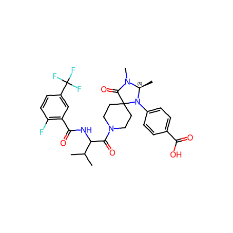 CC(C)C(NC(=O)c1cc(C(F)(F)F)ccc1F)C(=O)N1CCC2(CC1)C(=O)N(C)[C@@H](C)N2c1ccc(C(=O)O)cc1